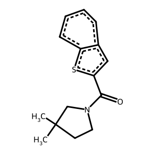 CC1(C)CCN(C(=O)c2cc3ccccc3s2)C1